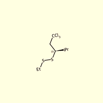 CCSS[C@@H](CC(Cl)(Cl)Cl)C(C)C